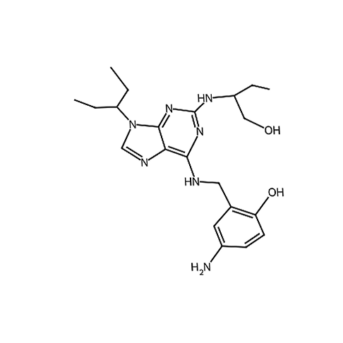 CCC(CO)Nc1nc(NCc2cc(N)ccc2O)c2ncn(C(CC)CC)c2n1